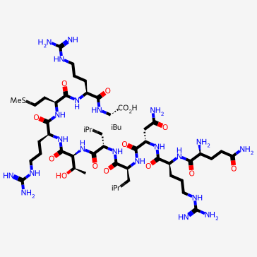 CC[C@H](C)[C@H](NC(=O)[C@H](CCCNC(=N)N)NC(=O)[C@H](CCSC)NC(=O)[C@H](CCCNC(=N)N)NC(=O)[C@@H](NC(=O)[C@H](CC(C)C)NC(=O)[C@H](CC(C)C)NC(=O)[C@H](CC(N)=O)NC(=O)[C@H](CCCNC(=N)N)NC(=O)[C@@H](N)CCC(N)=O)[C@@H](C)O)C(=O)O